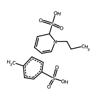 CCCN1C=CC=CC1S(=O)(=O)O.Cc1ccc(S(=O)(=O)O)cc1